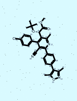 COC(=O)[C@@H](OC(C)(C)C)c1c(C)nc(-c2ccc(-c3c(C)noc3C)cc2)c(C#N)c1-c1ccc(Cl)cc1